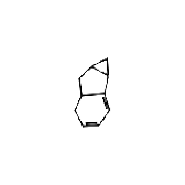 C1=CCC2CC3CC3C2=C1